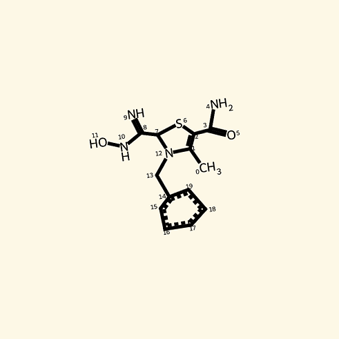 CC1=C(C(N)=O)SC(C(=N)NO)N1Cc1ccccc1